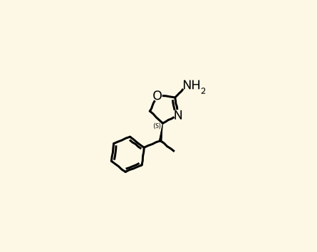 CC(c1ccccc1)[C@H]1COC(N)=N1